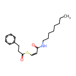 CCCCCCCCNC(=O)/C=C\SC(=O)CCc1ccccc1